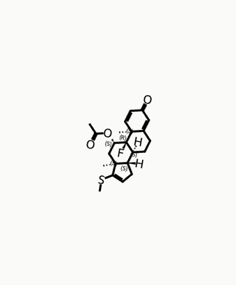 CSC1=CC[C@H]2[C@@H]3CCC4=CC(=O)C=C[C@]4(C)[C@@]3(F)[C@@H](OC(C)=O)C[C@]12C